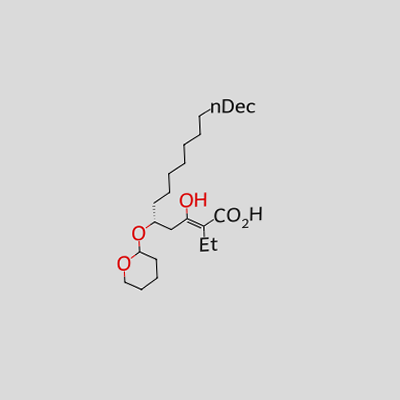 CCCCCCCCCCCCCCCCC[C@H](C/C(O)=C(\CC)C(=O)O)OC1CCCCO1